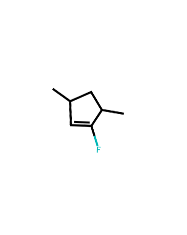 CC1C=C(F)C(C)C1